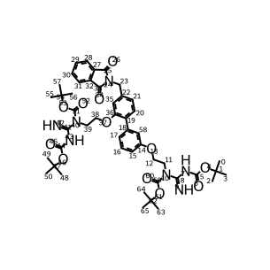 CC(C)(C)OC(=O)NC(=N)N(CCOc1cccc(-c2ccc(CN3C(=O)c4ccccc4C3=O)cc2OCCN(C(=N)NC(=O)OC(C)(C)C)C(=O)OC(C)(C)C)c1)C(=O)OC(C)(C)C